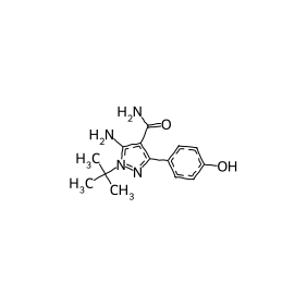 CC(C)(C)n1nc(-c2ccc(O)cc2)c(C(N)=O)c1N